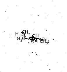 CC(C)=CCCc1ccc2c(O)c3cc(CCCC(C)CCC=C(C)C)ccc3c(O)c2c1